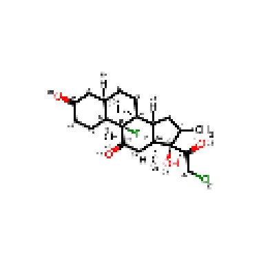 C[C@@H]1C[C@H]2[C@@H]3CC[C@H]4CC(=O)CC[C@]4(C)[C@@]3(F)C(=O)C[C@]2(C)[C@@]1(O)C(=O)CCl